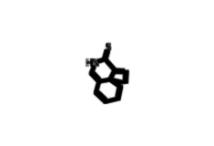 S=C1NC=C2C=CC=CC23CC=CC=C13